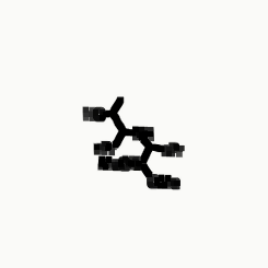 CCCC(NC(CCC)[SiH](OC)OC)C(C)O